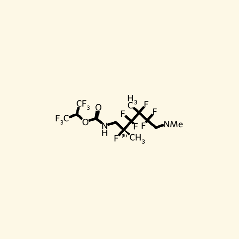 CNCC(F)(F)C(C)(F)C(F)(F)[C@](C)(F)CNC(=O)OC(C(F)(F)F)C(F)(F)F